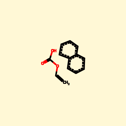 C=COC(=O)O.c1ccc2ccccc2c1